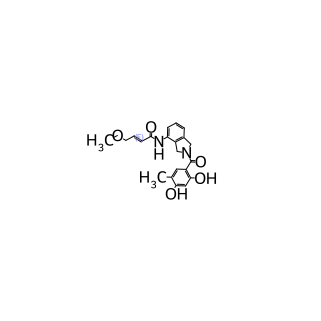 COC/C=C/C(=O)Nc1cccc2c1CN(C(=O)c1cc(C)c(O)cc1O)C2